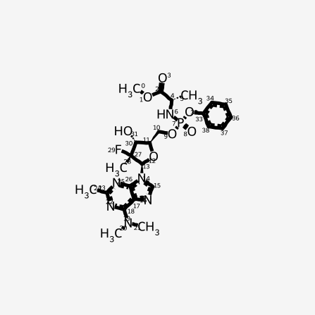 COC(=O)[C@H](C)NP(=O)(OC[C@H]1O[C@@H](n2cnc3c(N(C)C)nc(C)nc32)[C@](C)(F)[C@@H]1O)Oc1ccccc1